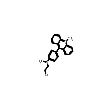 CN(CCO)c1ccc(-c2c3ccccc3[n+](C)c3ccccc23)cc1